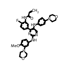 C=CC(=O)Nc1cc(-c2nc(Nc3ccc(OC)c(N4CCOCC4)c3)ncc2Nc2ccc(N3CCOCC3)cc2)ccc1F